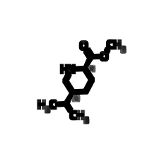 COC(=O)[C@H]1CC[C@@H](C(C)C)CN1